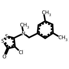 Cc1cc(C)cc(CN(C)c2ssc(=O)c2Cl)c1